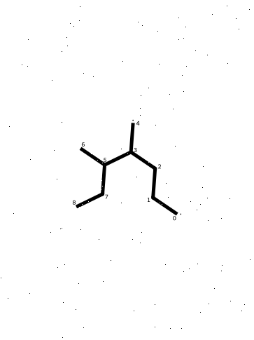 [CH2]CCC([CH2])C(C)CC